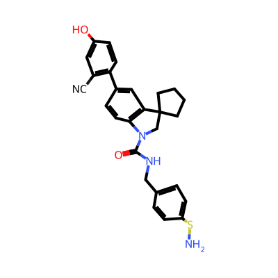 N#Cc1cc(O)ccc1-c1ccc2c(c1)C1(CCCC1)CN2C(=O)NCc1ccc(SN)cc1